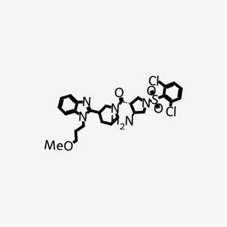 COCCCn1c(C2CCCN(C(=O)[C@@H]3CN(S(=O)(=O)c4c(Cl)cccc4Cl)C[C@H]3N)C2)nc2ccccc21